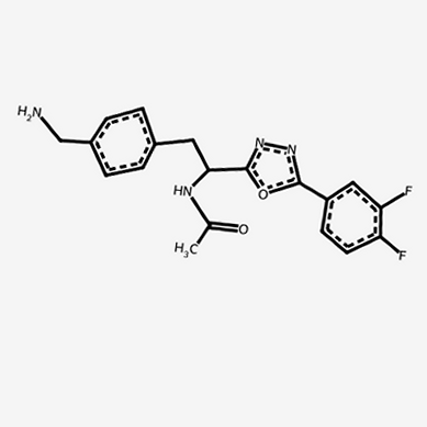 CC(=O)NC(Cc1ccc(CN)cc1)c1nnc(-c2ccc(F)c(F)c2)o1